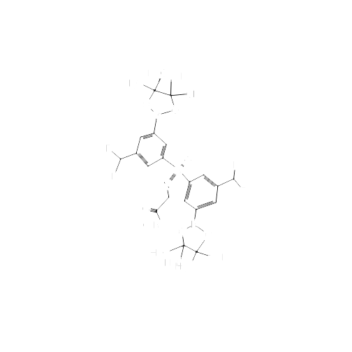 CC(C)COC(=O)CN=S(=O)(c1cc(B2OC(C)(C)C(C)(C)O2)cc(C(F)F)c1)c1cc(B2OC(C)(C)C(C)(C)O2)cc(C(F)F)c1